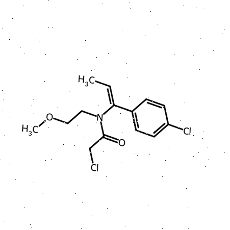 CC=C(c1ccc(Cl)cc1)N(CCOC)C(=O)CCl